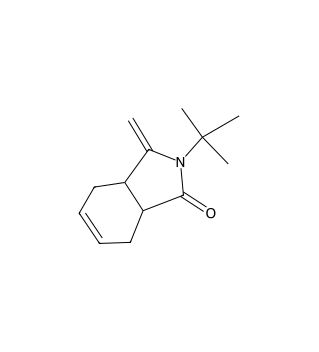 C=C1C2CC=CCC2C(=O)N1C(C)(C)C